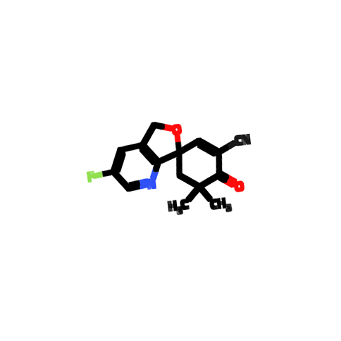 CC1(C)CC2(C=C(C#N)C1=O)OCc1cc(F)cnc12